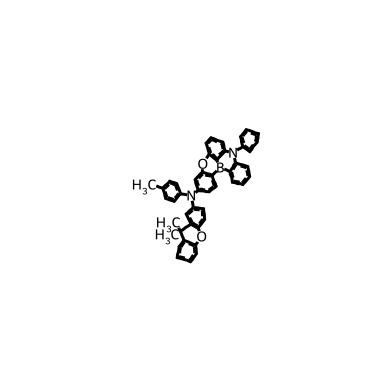 Cc1ccc(N(c2ccc3c(c2)Oc2cccc4c2B3c2ccccc2N4c2ccccc2)c2ccc3c(c2)C(C)(C)c2ccccc2O3)cc1